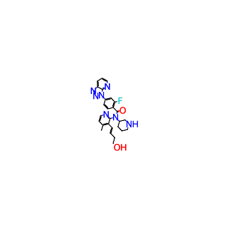 Cc1ccnc(N(C(=O)c2ccc(-n3nnc4cccnc43)cc2F)[C@@H]2CCCNC2)c1/C=C/CCO